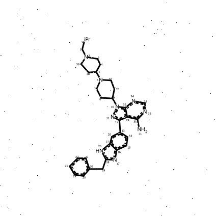 CC(C)CN1CCC(N2CCC(n3nc(-c4ccc5nc(Cc6ccccc6)[nH]c5c4)c4c(N)ncnc43)CC2)CC1